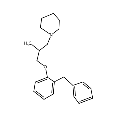 CC(COc1ccccc1Cc1ccccc1)CN1CCCCC1